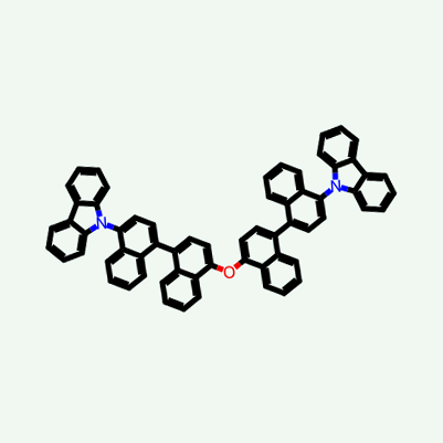 c1ccc2c(-c3ccc(-n4c5ccccc5c5ccccc54)c4ccccc34)ccc(Oc3ccc(-c4ccc(-n5c6ccccc6c6ccccc65)c5ccccc45)c4ccccc34)c2c1